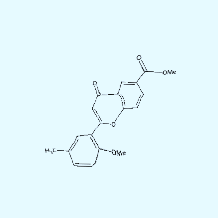 COC(=O)c1ccc2oc(-c3cc(C)ccc3OC)cc(=O)c2c1